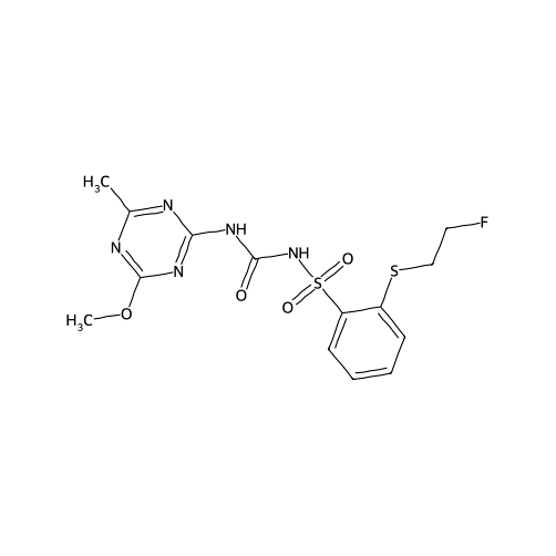 COc1nc(C)nc(NC(=O)NS(=O)(=O)c2ccccc2SCCF)n1